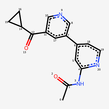 CC(=O)Nc1cc(-c2cncc(C(=O)C3CC3)c2)ccn1